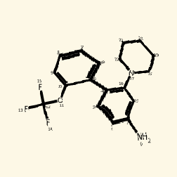 Nc1ccc(-c2ccccc2OC(F)(F)F)c(N2CCCCC2)c1